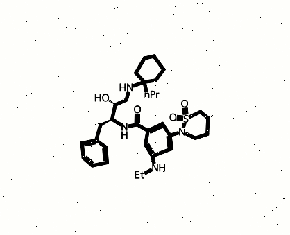 CCCC1(NC[C@@H](O)[C@H](Cc2ccccc2)NC(=O)c2cc(NCC)cc(N3CCCCS3(=O)=O)c2)CCCCC1